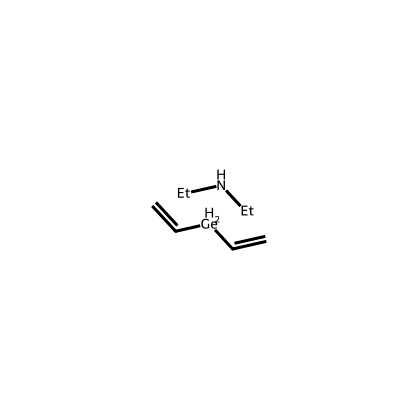 C=[CH][GeH2][CH]=C.CCNCC